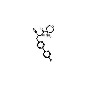 N#C[C@H](Cc1ccc(-c2ccc(F)cc2)cc1)NC(=O)C1(N)CCOCC1